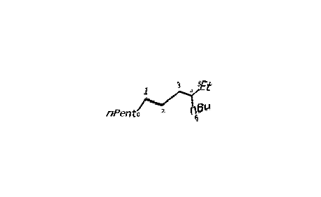 [CH2]CCCCCCCC(CC)CCCC